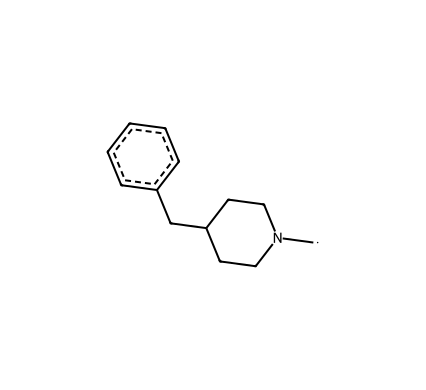 [CH2]N1CCC(Cc2ccccc2)CC1